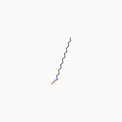 CCCCCCCCCCCCCCCN=C=O